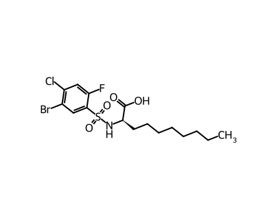 CCCCCCCC[C@@H](NS(=O)(=O)c1cc(Br)c(Cl)cc1F)C(=O)O